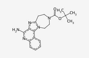 CC(C)(C)OC(=O)N1CCc2nc3c(N)nc4ccccc4c3n2CC1